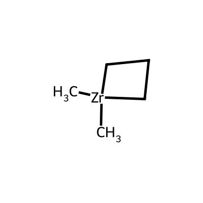 [CH3][Zr]1([CH3])[CH2]C[CH2]1